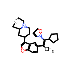 CC(=C(C1CCCC1)N1C=CCO1)c1ccc2occ(C3CCN4CCCCC4C3)c2c1